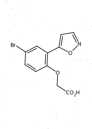 O=C(O)COc1ccc(Br)cc1-c1ccno1